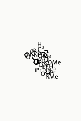 CC[C@H](C)[C@@H]([C@@H](CC(=O)N1CCC[C@H]1[C@H](OC)[C@@H](C)C(=O)N[C@@H](Cc1ccccc1)C(=O)N1CCCO1)OC)N(C)C(=O)[C@@H](NC(=O)[C@@H](NC)C(C)C)C(C)C